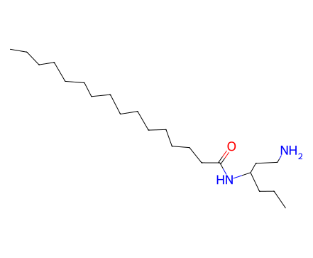 CCCCCCCCCCCCCCCC(=O)NC(CCC)CCN